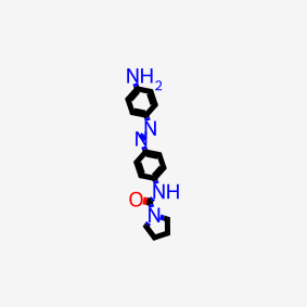 Nc1ccc(N=Nc2ccc(NC(=O)N3CCCC3)cc2)cc1